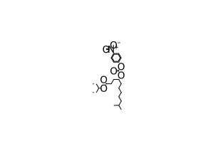 [CH2]C([CH2])OC(=O)CCC(CCCCCC(C)C)OC(=O)Oc1ccc([N+](=O)[O-])cc1